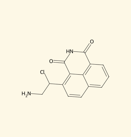 NCC(Cl)c1ccc2cccc3c2c1C(=O)NC3=O